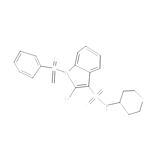 CC(C)c1c(S(=O)(=O)NC2CCSCC2)c2ccccc2n1S(=O)(=O)c1ccccc1